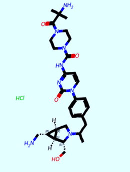 CC(Cc1ccc(-n2ccc(NC(=O)N3CCN(C(=O)C(C)(C)N)CC3)nc2=O)cc1)N1C[C@@H]2[C@@H](CN)[C@@H]2[C@H]1CO.Cl